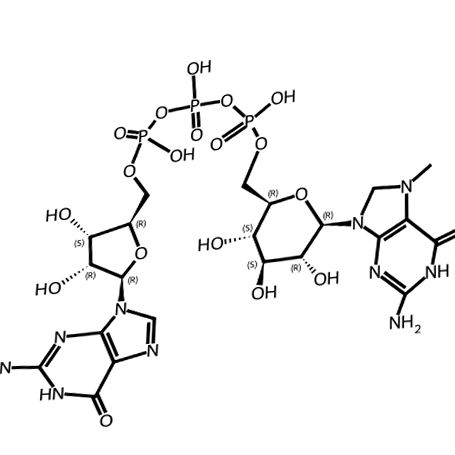 CN1CN([C@@H]2O[C@H](COP(=O)(O)OP(=O)(O)OP(=O)(O)OC[C@H]3O[C@@H](n4cnc5c(=O)[nH]c(N)nc54)[C@H](O)[C@@H]3O)[C@@H](O)[C@H](O)[C@H]2O)c2nc(N)[nH]c(=O)c21